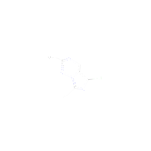 CSc1ncc2c(Cl)nc(C(C)C)n2n1